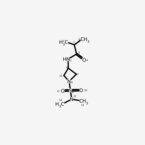 CC(C)C(=O)NC1CN(S(=O)(=O)N(C)C)C1